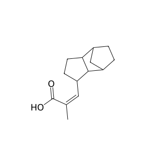 CC(=CC1CCC2C3CCC(C3)C12)C(=O)O